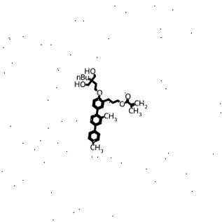 C=C(C)C(=O)OCCCc1cc(-c2ccc(-c3ccc(C)cc3)cc2C)ccc1OCCC(CO)(CO)CCCC